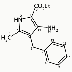 CCOC(=O)c1[nH]c(C)c(Cc2ccccc2)c1N